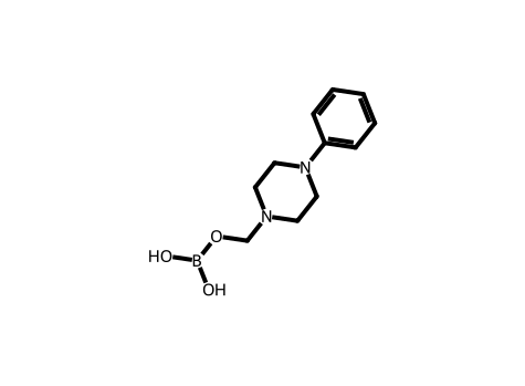 OB(O)OCN1CCN(c2ccccc2)CC1